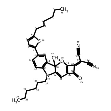 CCCCCCc1ccc(-c2ccc3c(c2)C2(C)OC4=C(C=C2N3CCCCCC)C(=O)C4=C(C#N)C#N)s1